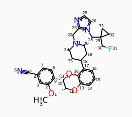 COc1cc(C#N)ccc1[C@H]1COc2cccc(C3CCN(Cc4nccn4CC4(CF)CC4)CC3)c2O1